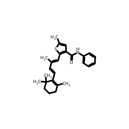 CC(C=CC1=C(C)CCCC1(C)C)=Cc1sc(C)cc1C(=O)Nc1ccccc1